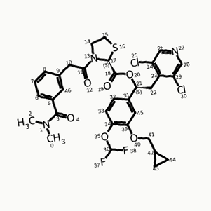 CN(C)C(=O)c1cccc(CC(=O)N2CCS[C@H]2C(=O)O[C@@H](Cc2c(Cl)cncc2Cl)c2ccc(OC(F)F)c(OCC3CC3)c2)c1